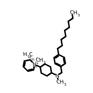 CCCCCCCCCc1ccc(CN(C)C2CCC([N@+]3(C)C=CC=C[C@@H]3C)CC2)cc1